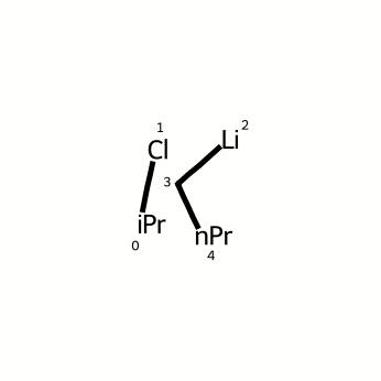 CC(C)Cl.[Li][CH2]CCC